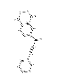 O=C(C#Cc1ccccc1)c1ccc2c(c1)OCCO2